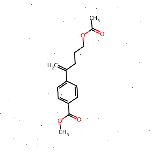 C=C(CCCOC(C)=O)c1ccc(C(=O)OC)cc1